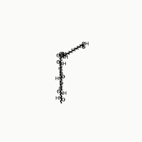 CCC(=O)NCCNC(=O)COCCOCCNC(=O)COCCOCCNC(=O)CC[C@H](NC(=O)CCCCCCCCCCCCC(=O)O)C(=O)O